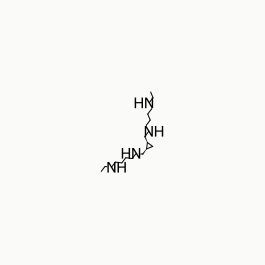 CCNCCCCNC[C@@H]1C[C@@H]1CNCCCCNCC